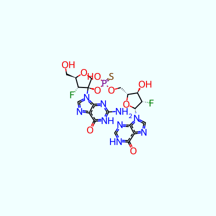 Nc1nc2c(ncn2[C@@]2(OP(O)(=S)OC[C@H]3O[C@@H](n4cnc5c(=O)[nH]cnc54)[C@@H](F)[C@@H]3O)CO[C@H](CO)[C@H]2F)c(=O)[nH]1